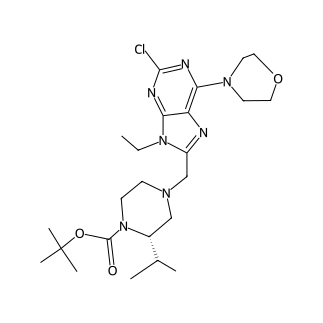 CCn1c(CN2CCN(C(=O)OC(C)(C)C)[C@@H](C(C)C)C2)nc2c(N3CCOCC3)nc(Cl)nc21